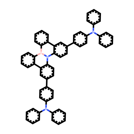 c1ccc(N(c2ccccc2)c2ccc(-c3ccc4c(c3)-c3ccccc3B3c5ccccc5-c5cc(-c6ccc(N(c7ccccc7)c7ccccc7)cc6)ccc5N34)cc2)cc1